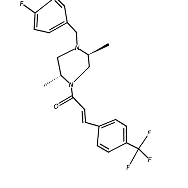 C[C@@H]1CN(Cc2ccc(F)cc2)[C@@H](C)CN1C(=O)/C=C/c1ccc(C(F)(F)F)cc1